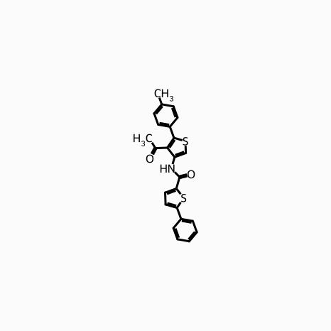 CC(=O)c1c(NC(=O)c2ccc(-c3ccccc3)s2)csc1-c1ccc(C)cc1